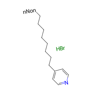 Br.CCCCCCCCCCCCCCCCCc1ccncc1